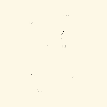 COc1cc(OC(=O)N[C@H](CCSC)C(=O)OCC#N)c([N+](=O)[O-])cc1OC